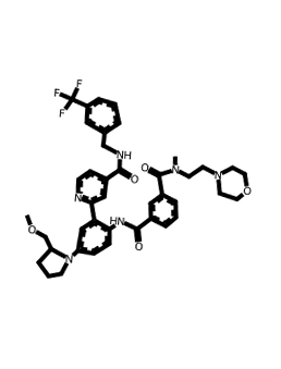 COCC1CCCN1c1ccc(NC(=O)c2cccc(C(=O)N(C)CCN3CCOCC3)c2)c(-c2cc(C(=O)NCc3cccc(C(F)(F)F)c3)ccn2)c1